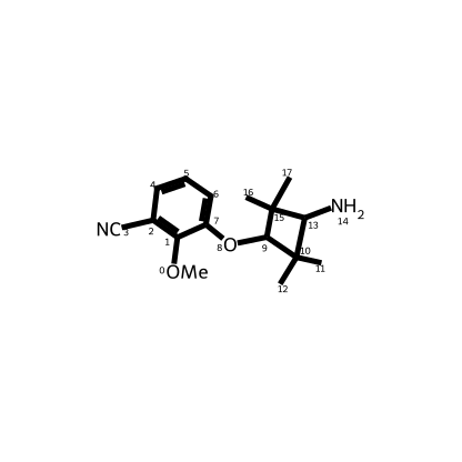 COc1c(C#N)cccc1OC1C(C)(C)C(N)C1(C)C